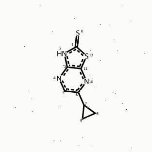 S=c1[nH]c2ncc(C3CC3)nc2s1